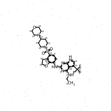 CCNc1nc(Nc2ccc(S(=O)(=O)N3CCC(N4CCOCC4)CC3)c3c2OCC3)nc2[nH]cc(C(F)(F)F)c12